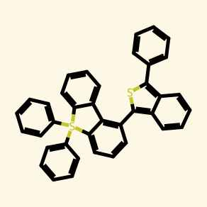 c1ccc(-c2sc(-c3cccc4c3-c3ccccc3S4(c3ccccc3)c3ccccc3)c3ccccc23)cc1